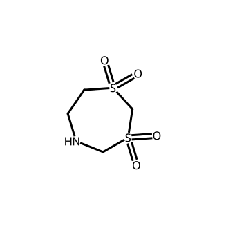 O=S1(=O)CCNCS(=O)(=O)C1